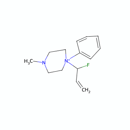 C=CC(F)[N+]1(c2ccccc2)CCN(C)CC1